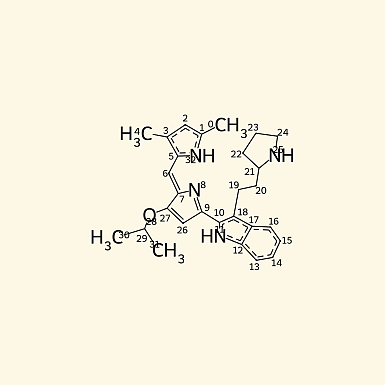 Cc1cc(C)c(/C=C2\N=C(c3[nH]c4ccccc4c3CCC3CCCN3)C=C2OC(C)C)[nH]1